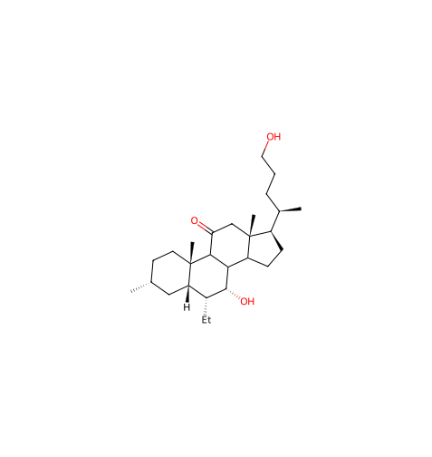 CC[C@H]1[C@@H](O)C2C3CC[C@H]([C@H](C)CCCO)[C@@]3(C)CC(=O)C2[C@@]2(C)CC[C@@H](C)C[C@@H]12